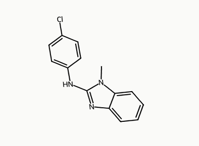 Cn1c(Nc2ccc(Cl)cc2)nc2ccccc21